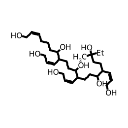 CCC(C)(O)CCC(/C=C\CO)C(O)CCC(/C=C\CO)C(O)CCC(/C=C\CO)C(O)CCC/C=C\CO